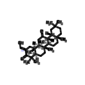 CC1(C)CC[C@]2(C)CC[C@]3(C)[C@H](C(=O)C[C@@H]4[C@@]5(C)C/C(=C\O)C(=O)C(C)(C)[C@@H]5CC[C@]43C)[C@@H]2C1